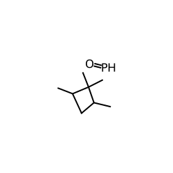 CC1CC(C)C1(C)C.O=P